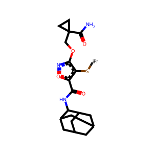 CC(C)Sc1c(OCC2(C(N)=O)CC2)noc1C(=O)NC1C2CC3CC(C2)CC1C3